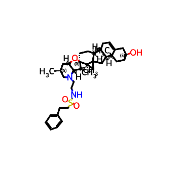 C[C@H]1C[C@H]2O[C@]3(CC[C@H]4[C@@H]5CC=C6C[C@@H](O)CC[C@]6(C)[C@H]5CC45CC53C)[C@H](C)[C@@H]2N(CCNS(=O)(=O)CCc2ccccc2)C1